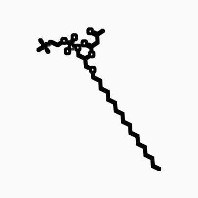 CCCCCCCCCCCCCCCCCCOCC(COP(=O)([O-])OCC[N+](C)(C)C)OC(=O)CC(C)=O